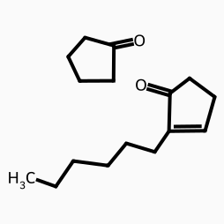 CCCCCCC1=CCCC1=O.O=C1CCCC1